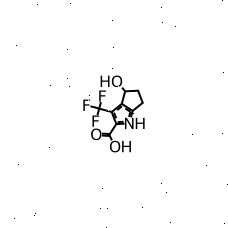 O=C(O)c1[nH]c2c(c1C(F)(F)F)C(O)CC2